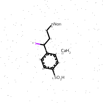 CCCCCCCCCCCC(I)c1ccc(S(=O)(=O)O)cc1.[CaH2]